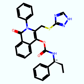 CC[C@H](NC(=O)Oc1c(CSc2nc[nH]n2)n(-c2ccccc2)c(=O)c2ccccc12)c1ccccc1